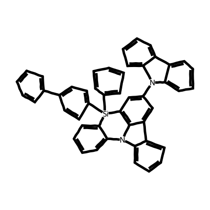 c1ccc(-c2ccc([Si]3(c4ccccc4)c4ccccc4-n4c5ccccc5c5cc(-n6c7ccccc7c7ccccc76)cc3c54)cc2)cc1